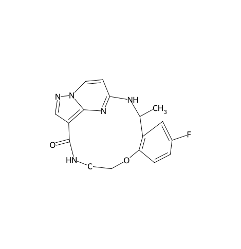 CC1Nc2ccn3ncc(c3n2)C(=O)NCCOc2ccc(F)cc21